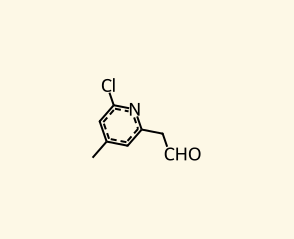 Cc1cc(Cl)nc(CC=O)c1